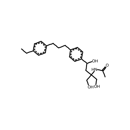 CCc1ccc(CCCc2ccc(C(O)CC(CO)(CO)NC(C)=O)cc2)cc1